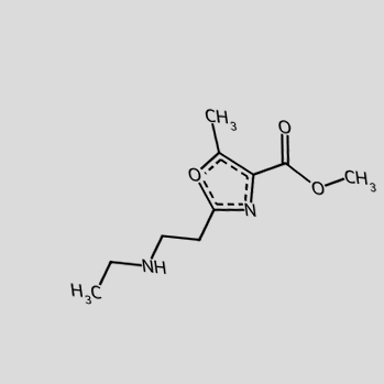 CCNCCc1nc(C(=O)OC)c(C)o1